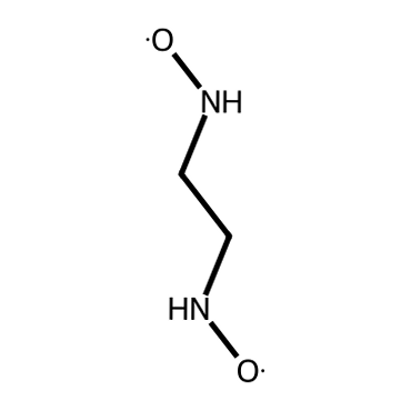 [O]NCCN[O]